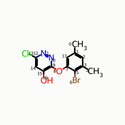 Cc1cc(C)c(Br)c(Oc2nnc(Cl)cc2O)c1